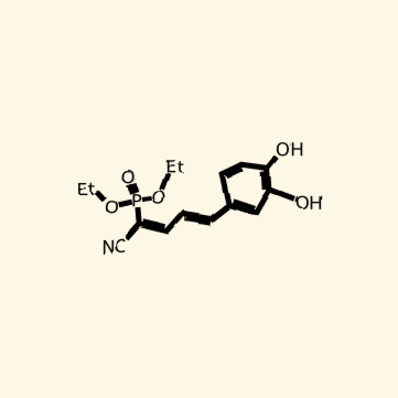 CCOP(=O)(OCC)C(C#N)=CC=Cc1ccc(O)c(O)c1